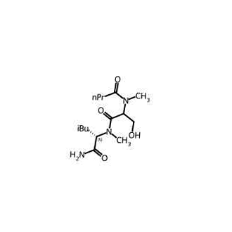 CCCC(=O)N(C)C(CO)C(=O)N(C)[C@H](C(N)=O)C(C)CC